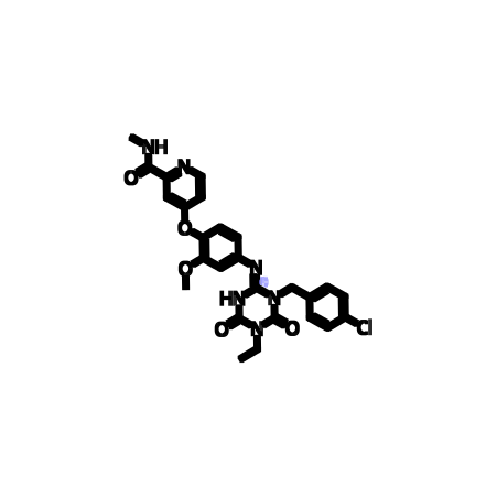 CCn1c(=O)[nH]/c(=N\c2ccc(Oc3ccnc(C(=O)NC)c3)c(OC)c2)n(Cc2ccc(Cl)cc2)c1=O